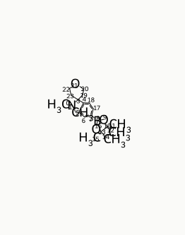 CN(C)C1(c2ccc(B3OC(C)(C)C(C)(C)O3)cc2)CCOCC1